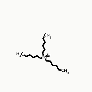 CCCCC[CH2][Sn]([Br])([CH2]CCCCC)[CH2]CCCCC